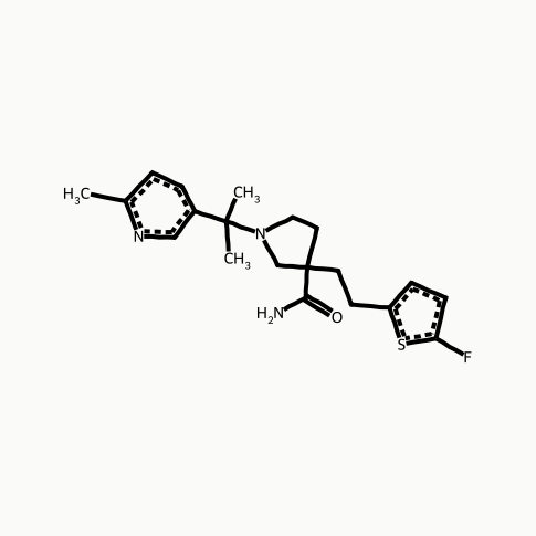 Cc1ccc(C(C)(C)N2CCC(CCc3ccc(F)s3)(C(N)=O)C2)cn1